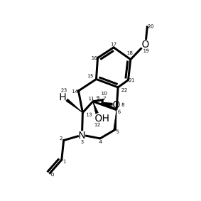 C=CCN1CC[C@]23COCC[C@@]2(O)[C@H]1Cc1ccc(OC)cc13